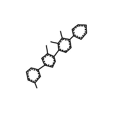 Cc1cccc(-c2ccc(-c3ccc(-c4ccccc4)c(C)c3C)c(C)c2)c1